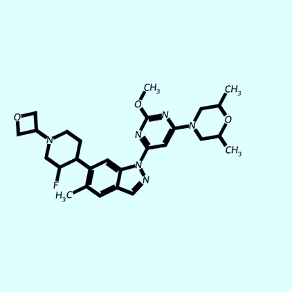 COc1nc(N2CC(C)OC(C)C2)cc(-n2ncc3cc(C)c(C4CCN(C5COC5)CC4F)cc32)n1